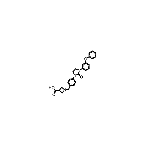 O=C(O)C1CN(Cc2ccc(N3CCN(c4cccc(Oc5ccccc5)c4)C3=O)cc2)C1